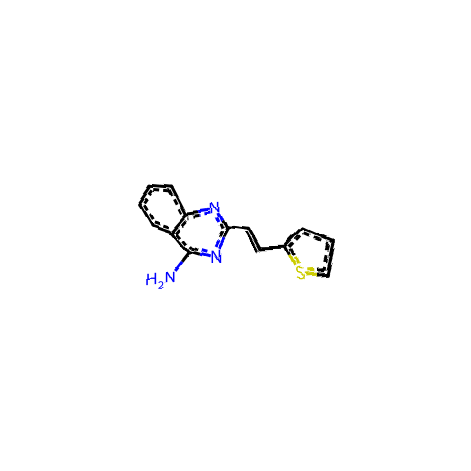 Nc1nc(C=Cc2cccs2)nc2ccccc12